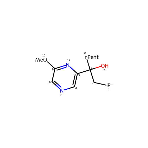 CCCCCC(O)(CC(C)C)c1cncc(OC)n1